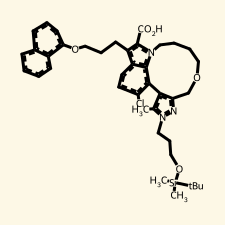 Cc1c2c(nn1CCCO[Si](C)(C)C(C)(C)C)COCCCCn1c(C(=O)O)c(CCCOc3cccc4ccccc34)c3ccc(Cl)c-2c31